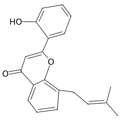 CC(C)=CCc1cccc2c(=O)cc(-c3ccccc3O)oc12